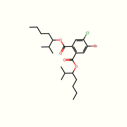 CCCCC(OC(=O)c1cc(Cl)c(Br)cc1C(=O)OC(CCCC)C(C)C)C(C)C